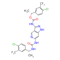 C[C@@H](NC(=O)Nc1cc2[nH]nc(NC(=O)O[C@H](C)c3ccc(Cl)c(C(F)(F)F)c3)c2cn1)c1ccc(Cl)c(C(F)(F)F)c1